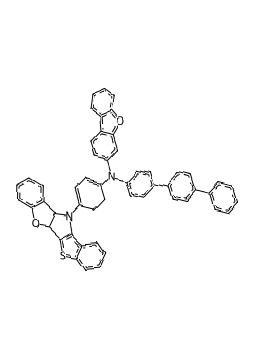 C1=C(N(c2ccc(-c3ccc(-c4ccccc4)cc3)cc2)c2ccc3c(c2)oc2ccccc23)CCC(N2c3c(sc4ccccc34)C3Oc4ccccc4C32)=C1